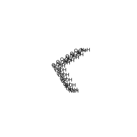 O=[Si](O)O.O=[Si](O)O.O=[Si](O)O.O=[Si](O)O.O=[Si](O)O.O=[Si](O)O.O=[Si](O)O.O=[Si](O)O.O=[Si](O)O.O=[Si](O)O.[NaH].[NaH].[NaH]